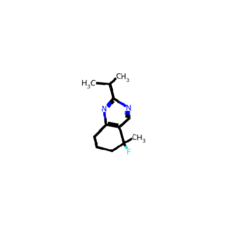 CC(C)c1ncc2c(n1)CCCC2(C)F